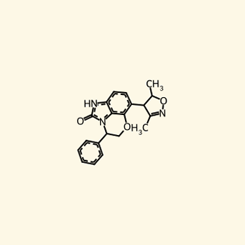 CC1=NOC(C)C1c1ccc2[nH]c(=O)n3c2c1OCC3c1ccccc1